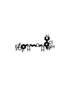 Fc1cc(CNCCCCOCCNc2cc(-c3ccncc3)c(Cl)c3[nH]ncc23)cc(F)c1OC(F)(F)F